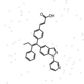 CCC(=C(c1ccc(C=CC(=O)O)cc1)c1ccc2c(cnn2-c2cccnc2)c1)c1ccccc1